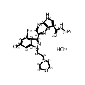 CCCNC(=O)c1c[nH]c2ncc(-c3nn(CCN4CCOCC4)c4cc(Cl)cc(F)c34)nc12.Cl